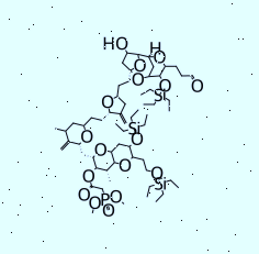 C=C1CC(CC[C@]23CC(O)C(O2)[C@H]2CC(O3)C(O[Si](CC)(CC)CC)C(CCC=O)O2)O[C@H]1CCC1CC(C)C(=C)[C@@H](C[C@@H]2OC3CC(O[Si](CC)(CC)CC)C(CCO[Si](CC)(CC)CC)OC3[C@H](C)C2OC(=O)CP(=O)(OC)OC)O1